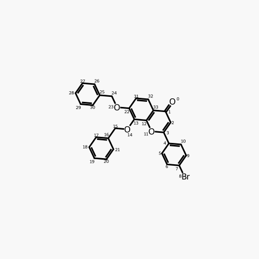 O=c1cc(-c2ccc(Br)cc2)oc2c(OCc3ccccc3)c(OCc3ccccc3)ccc12